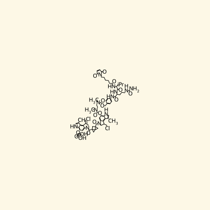 Cc1c[nH]c2c(OC(=O)N(C)CCN(C)C(=O)OCc3ccc(NC(=O)C(CCCNC(N)=O)NC(=O)C(NC(=O)CCCCCN4C(=O)C=CC4=O)C(C)C)cc3)cc3c(c12)C(CCl)CN3C(=O)C12CC3(C(=O)N4CC(CCl)c5c4cc(OP(=O)(O)O)c4[nH]cc(C)c54)CC13C2